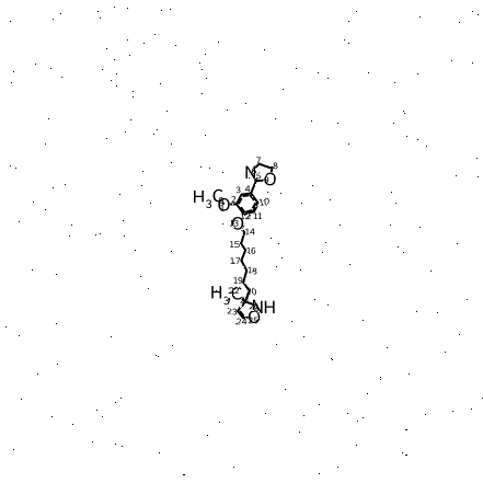 COc1cc(C2=NCCO2)ccc1OCCCCCCCC1(C)C=CON1